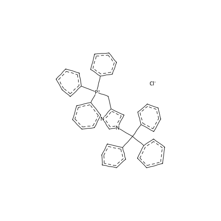 [Cl-].c1ccc(C(c2ccccc2)(c2ccccc2)n2cnc(C[P+](c3ccccc3)(c3ccccc3)c3ccccc3)c2)cc1